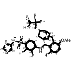 COc1ccc(F)c(CNc2ccc(S(=O)(=O)Nc3cscn3)c(F)c2F)c1CN1C2CCC1CC2.O=C(O)C(F)(F)F